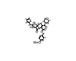 COc1ccc(COC(=O)C2=C(C(=O)N3CCOCC3)CS[C@H]3C(NC(=O)Cc4cccs4)C(=O)N23)cc1